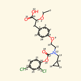 CCOC(Cc1ccc(OCCN(CC2CC2)C(=O)Oc2ccc(Cl)cc2Cl)cc1)C(=O)O